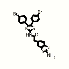 Nc1nc2ccc(CC(=O)Nc3nc(-c4ccc(Br)cc4)c(-c4ccc(Br)cc4)s3)cc2s1